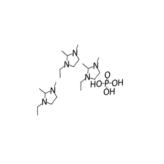 CCN1CCN(C)C1C.CCN1CCN(C)C1C.CCN1CCN(C)C1C.O=P(O)(O)O